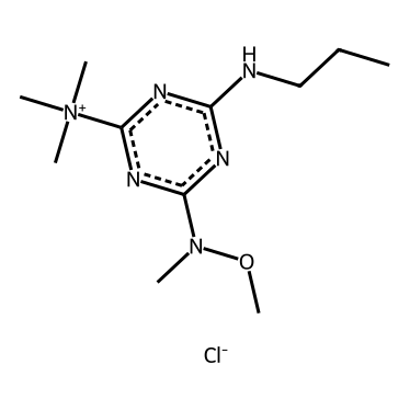 CCCNc1nc(N(C)OC)nc([N+](C)(C)C)n1.[Cl-]